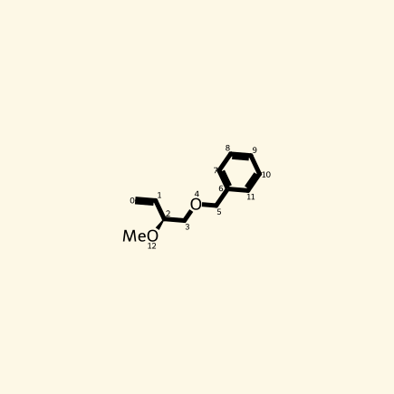 C=C[C@@H](COCc1ccccc1)OC